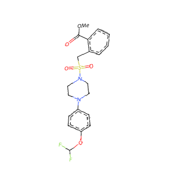 COC(=O)c1ccccc1CS(=O)(=O)N1CCN(c2ccc(OC(F)F)cc2)CC1